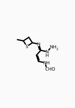 CC1CC(/N=C(\C=C/NC=O)NN)S1